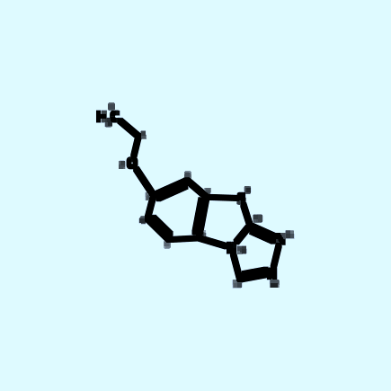 CCOc1ccc2c(c1)sc1nncn12